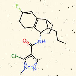 CCCC1C2CCC1(NC(=O)c1cnn(C)c1Cl)C1=C2C=C(F)CC1